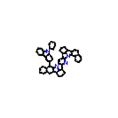 c1ccc(-n2c3ccccc3c3cc(-c4c5ccccc5cc5c6cccc7c8nc9c(cc8n(c45)c67)c4cccc5c6ccc7ccccc7c6n9c45)ccc32)cc1